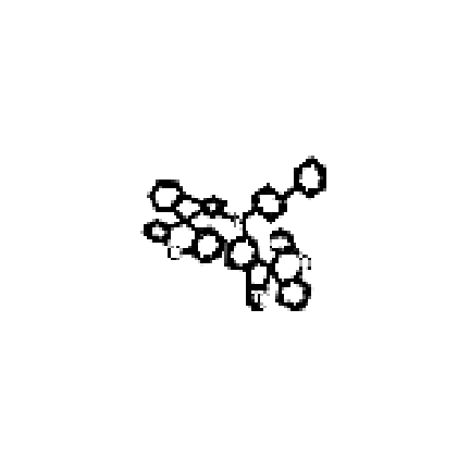 C1=CC2=C(CC1)C1(c3ccccc3Oc3ccccc31)c1cc(N(c3ccc(-c4ccccc4)cc3)c3ccc4c(c3)C3(c5ccccc5Oc5ccccc53)c3ccccc3-4)ccc12